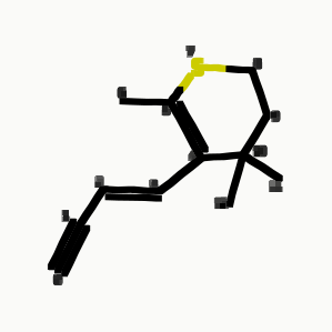 C#CC=CC1=C(C)SCCC1(C)C